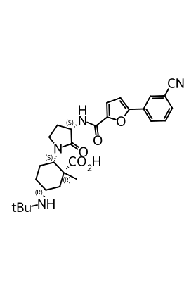 CC(C)(C)N[C@@H]1CC[C@H](N2CC[C@H](NC(=O)c3ccc(-c4cccc(C#N)c4)o3)C2=O)[C@](C)(C(=O)O)C1